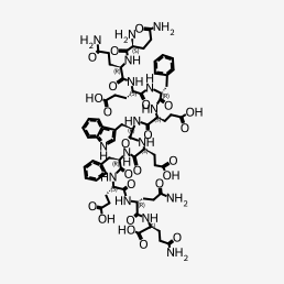 NC(=O)CC[C@H](NC(=O)[C@@H](CCC(N)=O)NC(=O)[C@H](CCC(=O)O)NC(=O)[C@@H](Cc1ccccc1)NC(=O)[C@H](CCC(=O)O)NC(=O)[C@@H](Cc1c[nH]c2ccccc12)NC(=O)[C@H](CCC(=O)O)NC(=O)[C@@H](Cc1ccccc1)NC(=O)[C@H](CCC(=O)O)NC(=O)[C@@H](CCC(N)=O)NC(=O)[C@@H](N)CCC(N)=O)C(=O)O